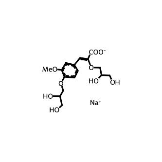 COc1cc(C=C(OCC(O)CO)C(=O)[O-])ccc1OCC(O)CO.[Na+]